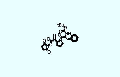 CC(C)(C)OC(=O)N[C@@H](Cc1ccccc1)C(=O)N1CCCC1NC(=O)ON1C(=O)CCC1=O